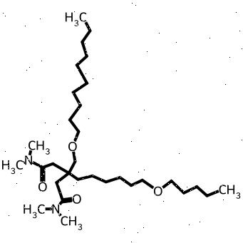 CCCCCCCCCCOCC(CCCCCCOCCCCC)(CC(=O)N(C)C)CC(=O)N(C)C